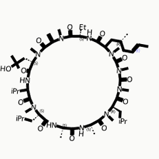 C=C1C(=O)N(C)[C@@H](CC(C)(C)O)C(=O)NC(C(C)C)C(=O)N(C)[C@@H](CC(C)C)C(=O)N[C@@H](C)C(=O)N[C@@H](C)C(=O)N(C)[C@H](CC(C)C)C(=O)N(C)C(=O)N(C)C(=O)N(C)C(C[C@H](C)C/C=C/C)C(=O)N[C@@H](CC)C(=O)N1C